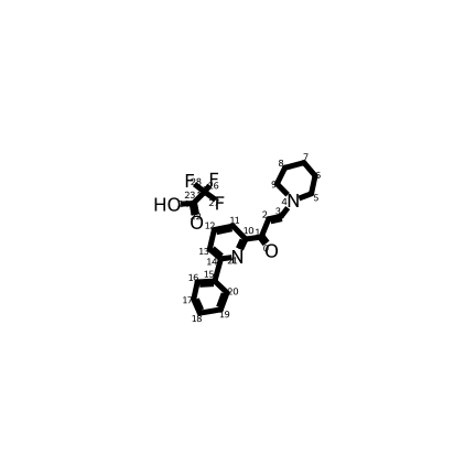 O=C(C=CN1CCCCC1)c1cccc(-c2ccccc2)n1.O=C(O)C(F)(F)F